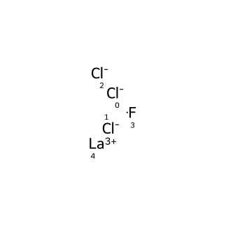 [Cl-].[Cl-].[Cl-].[F].[La+3]